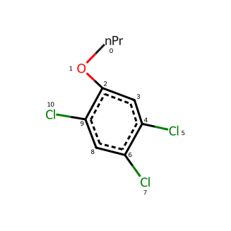 [CH2]CCOc1cc(Cl)c(Cl)cc1Cl